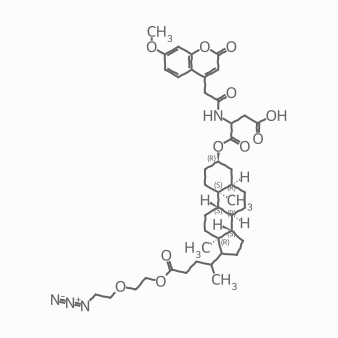 COc1ccc2c(CC(=O)NC(CC(=O)O)C(=O)O[C@@H]3CC[C@@]4(C)[C@H](CC[C@@H]5[C@@H]4CC[C@]4(C)C(C(C)CCC(=O)OCCOCCN=[N+]=[N-])CC[C@@H]54)C3)cc(=O)oc2c1